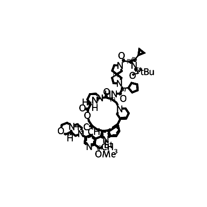 CCn1c(-c2cc(N3CCN4CCOC[C@@H]4C3)cnc2[C@H](C)OC)c2c3cc(ccc31)C1=CCCN(C1)C[C@H](NC(=O)[C@H](C1CCCC1)N1CC[C@]3(CCN(C(=O)[C@H]4[C@@H](C5CC5)N4[S@+]([O-])C(C)(C)C)C3)C1)C(=O)N1CCC[C@H](N1)C(=O)OCC(C)(C)C2